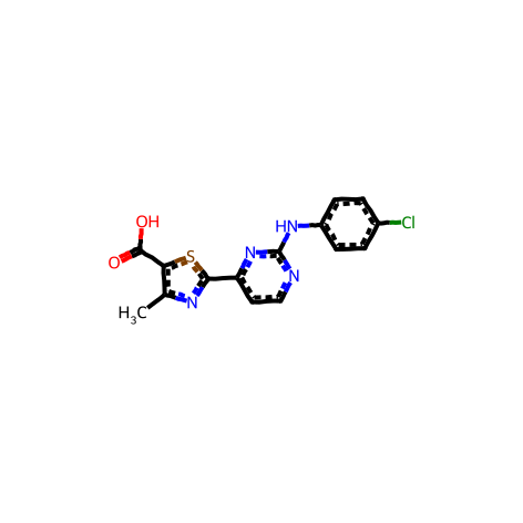 Cc1nc(-c2ccnc(Nc3ccc(Cl)cc3)n2)sc1C(=O)O